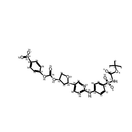 CC(C)(C)OC(=O)NS(=O)(=O)c1ccc(Nc2ncc([C@H]3C[C@@H](OC(=O)Oc4ccc([N+](=O)[O-])cc4)CO3)cn2)cc1